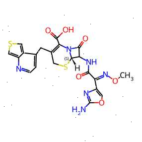 CON=C(C(=O)NC1C(=O)N2C(C(=O)O)=C(Cc3ccnc4cscc34)CS[C@@H]12)c1coc(N)n1